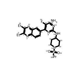 CCc1nc2ccc(-c3nc(NC4CCN(S(=O)(=O)C(C)C)CC4)ncc3F)cc2nc1CC.N